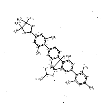 Bc1cc(C)c(-c2ccc3c(c2)[C@]24CC(CCCCCCC)C[C@]2(CC(CCCCCCC)C4)c2cc(-c4c(C)cc(B5OC(C)(C)C(C)(C)O5)cc4C)ccc2-3)c(C)c1